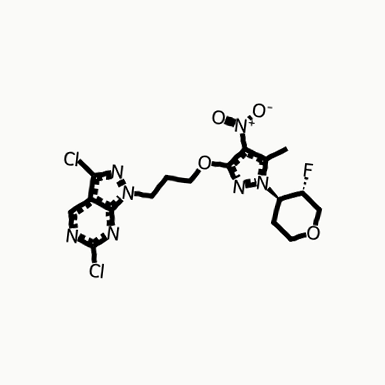 Cc1c([N+](=O)[O-])c(OCCCn2nc(Cl)c3cnc(Cl)nc32)nn1[C@@H]1CCOC[C@H]1F